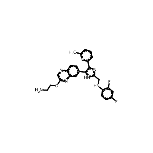 Cc1cccc(-c2nc(CNc3ccc(F)cc3F)[nH]c2-c2ccc3ncc(OCCN)nc3c2)n1